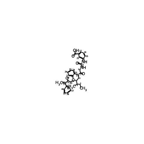 CCC(C)CCN(C(=O)CNC(=O)Nc1cccc(C(=O)O)c1)c1ccccc1OCC(=O)N(C)c1ccccc1